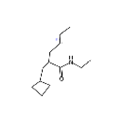 C/C=C/CC(CC1CCC1)C(=O)NCC